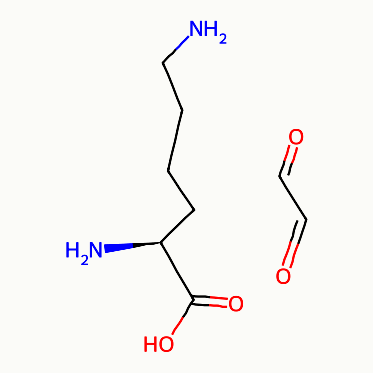 NCCCC[C@H](N)C(=O)O.O=CC=O